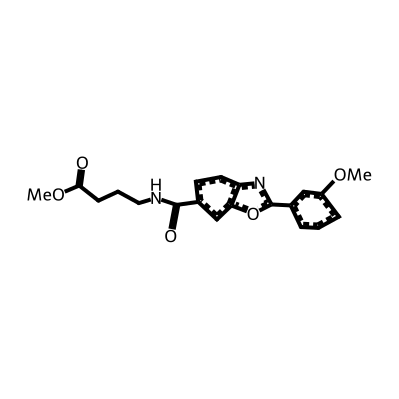 COC(=O)CCCNC(=O)c1ccc2nc(-c3cccc(OC)c3)oc2c1